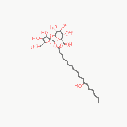 CCCCCCC(O)CCCCCCCCCCC(=O)OC[C@@]1(O[C@H]2O[C@H](CO)[C@@H](O)[C@H](O)[C@H]2O)O[C@H](CO)[C@@H](O)[C@@H]1O